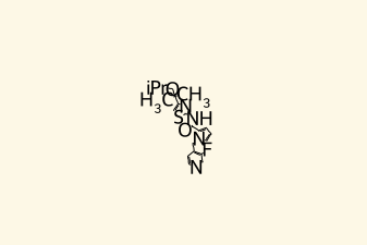 CC(C)OC(C)(C)c1csc(NC(=O)c2cccn2Cc2ccncc2F)n1